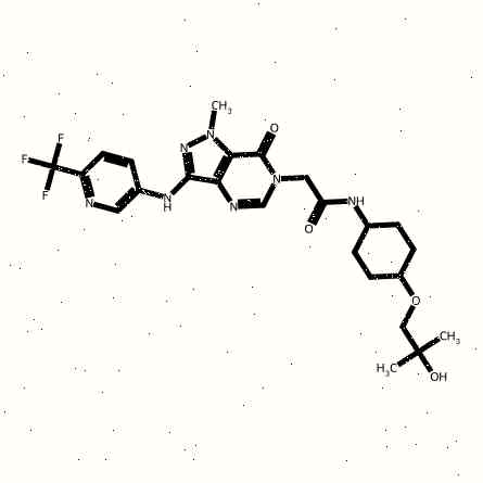 Cn1nc(Nc2ccc(C(F)(F)F)nc2)c2ncn(CC(=O)NC3CCC(OCC(C)(C)O)CC3)c(=O)c21